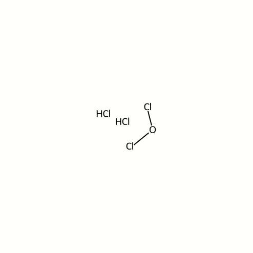 Cl.Cl.ClOCl